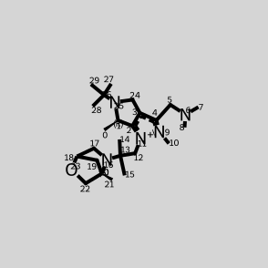 C[C@@H]1c2c(c(CN(C)C)n(C)[n+]2CC(C)(C)N2CC3C[C@@]2(C)CO3)CN1C(C)(C)C